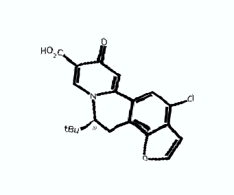 CC(C)(C)[C@@H]1Cc2c(cc(Cl)c3ccoc23)-c2cc(=O)c(C(=O)O)cn21